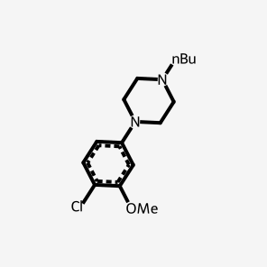 [CH2]CCCN1CCN(c2ccc(Cl)c(OC)c2)CC1